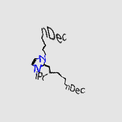 CCCCCCCCCCCCCCCCC1N(CCCCCCCCCCCCCC)C=CN1C(C)C